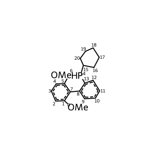 COc1cccc(OC)c1-c1ccccc1PC1CCCCC1